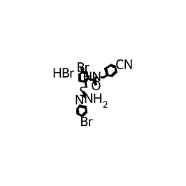 Br.N#Cc1ccc(CNC(=O)c2cc(Br)ccc2CS/C(N)=N/c2ccc(Br)cc2)cc1